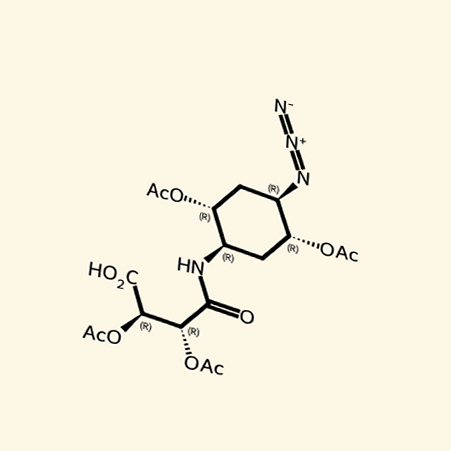 CC(=O)O[C@@H]1C[C@@H](NC(=O)[C@H](OC(C)=O)[C@@H](OC(C)=O)C(=O)O)[C@H](OC(C)=O)C[C@H]1N=[N+]=[N-]